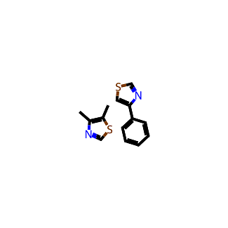 Cc1ncsc1C.c1ccc(-c2cscn2)cc1